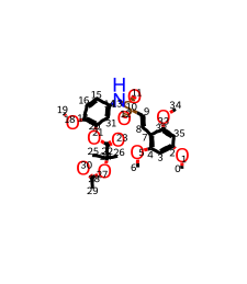 COc1cc(OC)c(C=CS(=O)(=O)Nc2ccc(OC)c(OC(=O)C(C)(C)OC(C)=O)c2)c(OC)c1